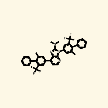 Cc1cc(-c2ccnc3c2nc(N(C)C)n3-c2cc(C)c(-c3ccccc3)c(C(F)(F)F)c2)cc(C(F)(F)F)c1-c1ccccc1